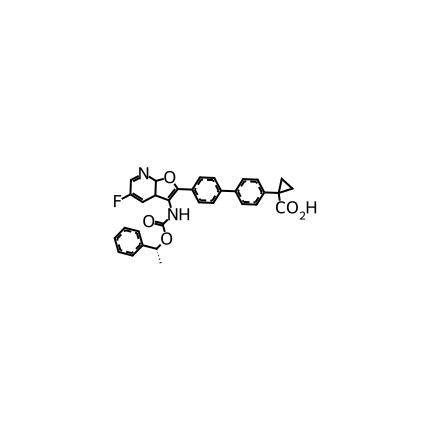 C[C@@H](OC(=O)NC1=C(c2ccc(-c3ccc(C4(C(=O)O)CC4)cc3)cc2)OC2N=CC(F)=CC12)c1ccccc1